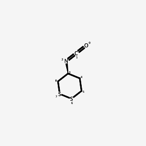 O=C=N[C@H]1CCSSC1